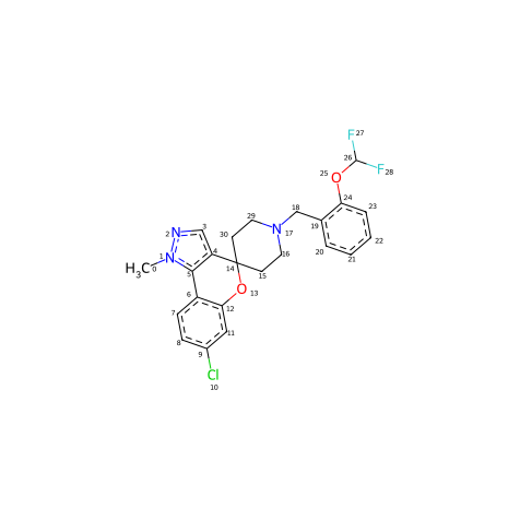 Cn1ncc2c1-c1ccc(Cl)cc1OC21CCN(Cc2ccccc2OC(F)F)CC1